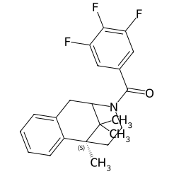 CC1(C)C2Cc3ccccc3[C@]1(C)CCN2C(=O)c1cc(F)c(F)c(F)c1